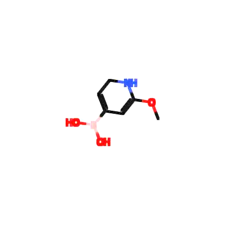 COC1=CC(B(O)O)=CCN1